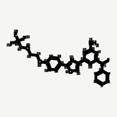 CN(c1ccccc1)c1nc(N)nc(-c2noc(-c3ccc(OCCOCC(F)(F)F)nc3)n2)n1